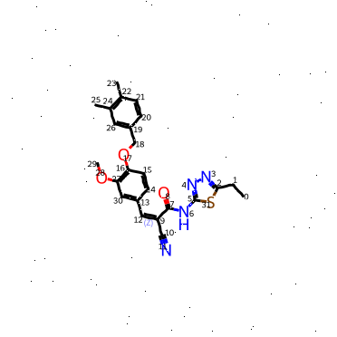 CCc1nnc(NC(=O)/C(C#N)=C\c2ccc(OCc3ccc(C)c(C)c3)c(OC)c2)s1